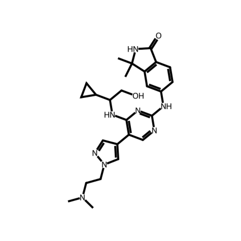 CN(C)CCn1cc(-c2cnc(Nc3ccc4c(c3)C(C)(C)NC4=O)nc2NC(CO)C2CC2)cn1